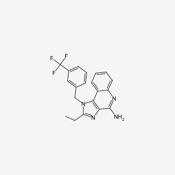 CCc1nc2c(N)nc3ccccc3c2n1Cc1cccc(C(F)(F)F)c1